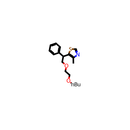 CCCCOCCOCC(c1ccccc1)c1scnc1C